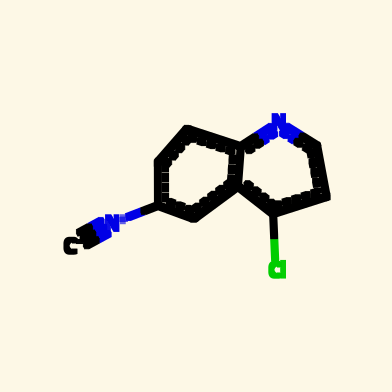 [C-]#[N+]c1ccc2nccc(Cl)c2c1